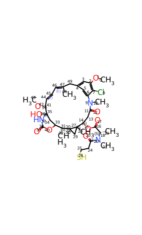 COc1cc2cc(c1Cl)N(C)C(=O)C[C@H](OC(=O)[C@H](C)N(C)C(=O)CCS)[C@]1(C)C[C@H]1[C@H](C)C1C[C@@](O)(NC(=O)O1)[C@H](OC)/C=C/C=C(\C)C2